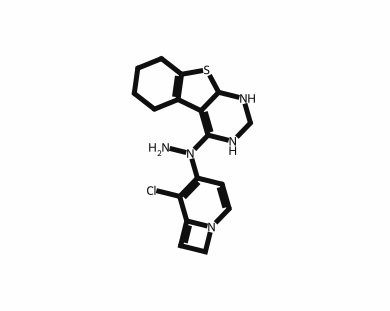 NN(C1=C(Cl)C2=CCN2C=C1)C1=C2C3=C(CCCC3)SC2NCN1